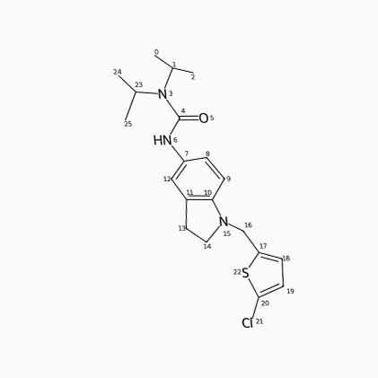 CC(C)N(C(=O)Nc1ccc2c(c1)CCN2Cc1ccc(Cl)s1)C(C)C